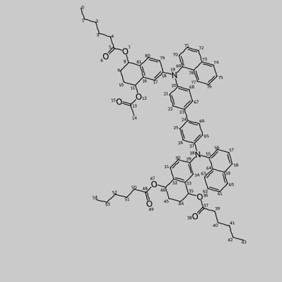 CCCCCC(=O)OC1CCC(OC(C)=O)c2cc(N(c3ccc(-c4ccc(N(c5ccc6c(c5)C(OC(=O)CCCCC)CCC6OC(=O)CCCCC)c5cccc6ccccc56)cc4)cc3)c3cccc4ccccc34)ccc21